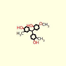 COc1ccc(C(c2ccc(O)c(C)c2)c2ccc(O)c(C)c2)c(O)c1